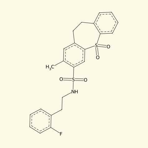 Cc1cc2c(cc1S(=O)(=O)NCCc1ccccc1F)S(=O)(=O)c1ccccc1CC2